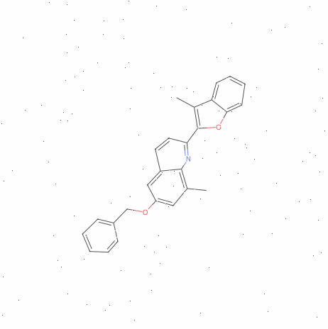 Cc1c(-c2ccc3cc(OCc4ccccc4)cc(C)c3n2)oc2ccccc12